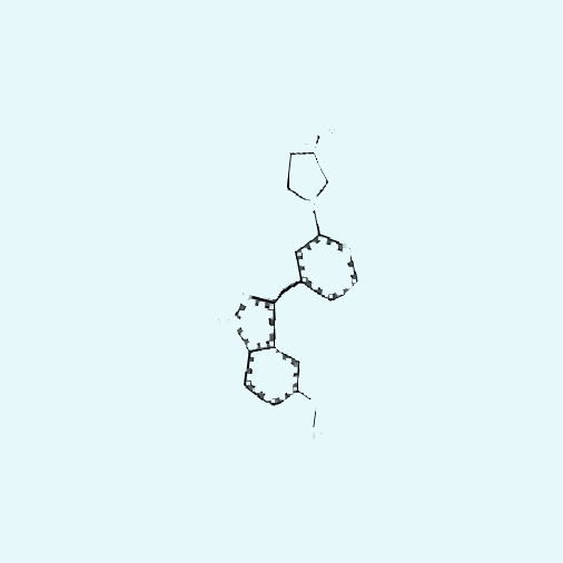 CO[C@@H]1CCN(c2cc(-c3n[nH]c4ccc(OC(C)C)cc34)ccn2)C1